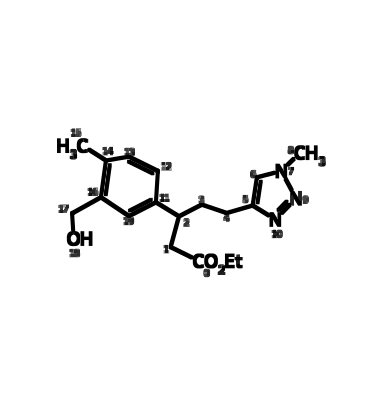 CCOC(=O)CC(CCc1cn(C)nn1)c1ccc(C)c(CO)c1